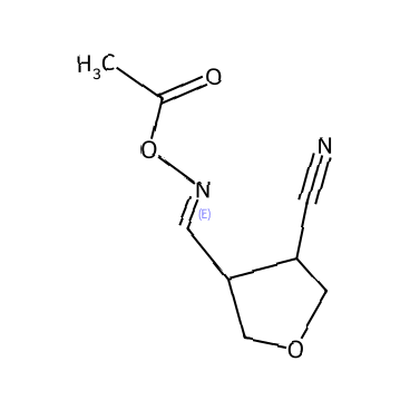 CC(=O)O/N=C/C1COCC1C#N